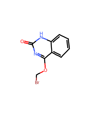 O=c1nc(OCBr)c2ccccc2[nH]1